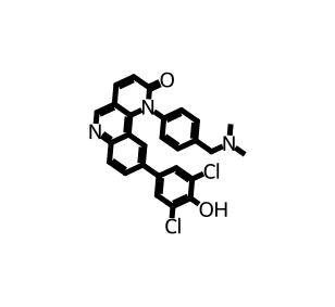 CN(C)Cc1ccc(-n2c(=O)ccc3cnc4ccc(-c5cc(Cl)c(O)c(Cl)c5)cc4c32)cc1